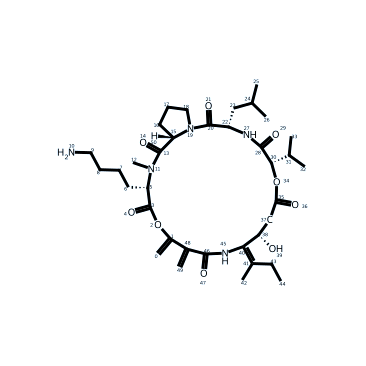 C=C1OC(=O)[C@H](CCCCN)N(C)C(=O)[C@@H]2CCCN2C(=O)[C@H](CC(C)C)NC(=O)[C@H](C(C)C)OC(=O)C[C@H](O)/C(=C(/C)CC)NC(=O)C1=C